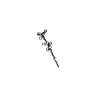 CCCCCCCCCCCCCCCC(=O)OCC(=O)NCCCCCC(=O)N1C[C@H](OC)C[C@H]1COC